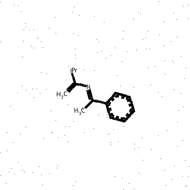 C=C(/N=C(\C)c1ccccc1)C(C)C